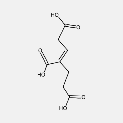 O=C(O)C/C=C(/CCC(=O)O)C(=O)O